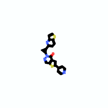 O=c1c2cc(-c3ccncc3)sc2cnn1C1CC1c1ccc2sccc2n1